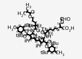 C=C(C)C(=O)OCCCC(CC)(CC)C(=O)NC1=N/C(=C\c2[nH]c(NC(=O)C(CC)(CC)CCCSC(COC=O)C(=O)O)c(C(=O)OC3C(C(C)(C)C)CC(C)CC3C(C)(C)C)c2C(C)C)C(C(C)C)=C1C(=O)OC1C(C(C)(C)C)CC(C)CC1C(C)(C)C